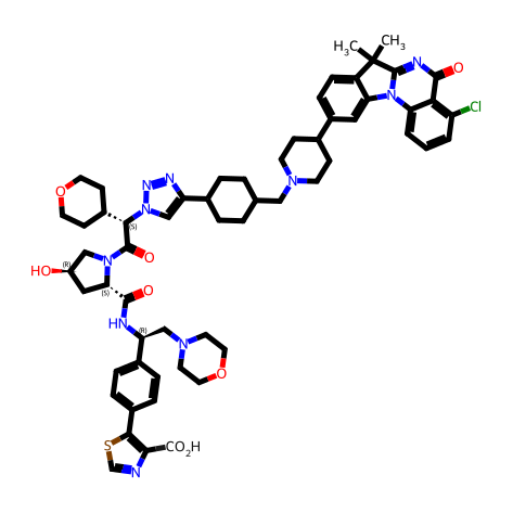 CC1(C)c2ccc(C3CCN(CC4CCC(c5cn([C@H](C(=O)N6C[C@H](O)C[C@H]6C(=O)N[C@@H](CN6CCOCC6)c6ccc(-c7scnc7C(=O)O)cc6)C6CCOCC6)nn5)CC4)CC3)cc2-n2c1nc(=O)c1c(Cl)cccc12